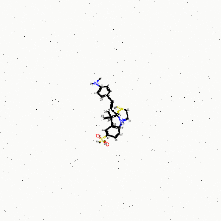 CN(C)c1ccc(/C=C/C23SCCN2c2ccc(S(C)(=O)=O)cc2C3(C)C)cc1